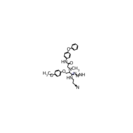 COc1ccc(OCC(/C(=N/N=N)NCCC#N)N(C)CC(=O)Nc2ccc(Oc3ccccc3)cc2)cc1